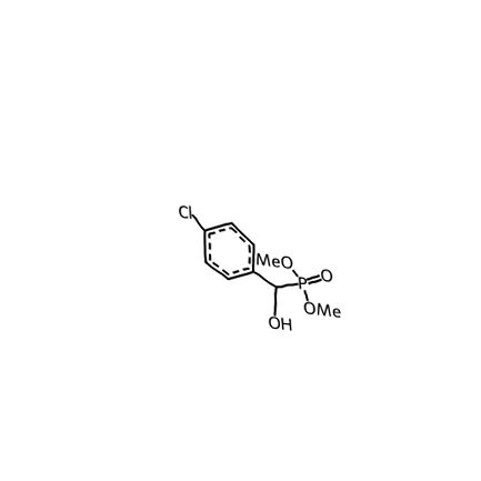 COP(=O)(OC)C(O)c1ccc(Cl)cc1